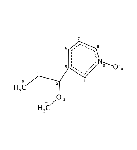 CCC(OC)c1ccc[n+]([O-])c1